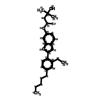 CCCCCc1ccc(-c2cc3ccc(OB(I)CC(C)(C)O)cc3o2)c(CC)c1